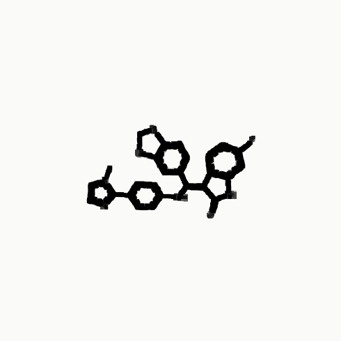 Cn1ccnc1-c1ccc(N/C(=C2\C(=O)Nc3cc(F)ccc32)c2ccc3c(c2)OCO3)cc1